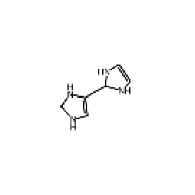 [C]1=CNC(C2=CNCN2)N1